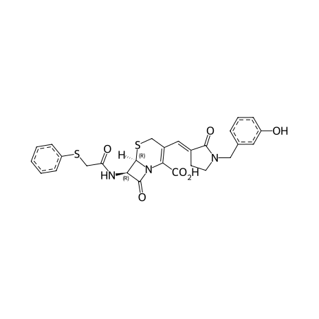 O=C(CSc1ccccc1)N[C@@H]1C(=O)N2C(C(=O)O)=C(C=C3CCN(Cc4cccc(O)c4)C3=O)CS[C@H]12